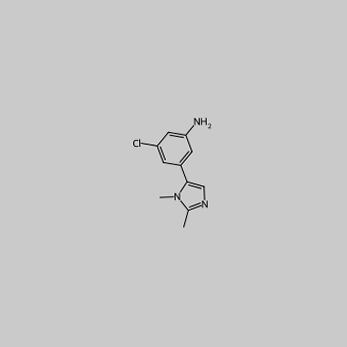 Cc1ncc(-c2cc(N)cc(Cl)c2)n1C